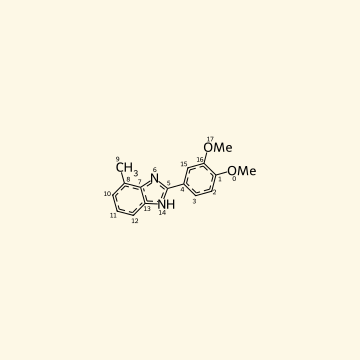 COc1ccc(-c2nc3c(C)cccc3[nH]2)cc1OC